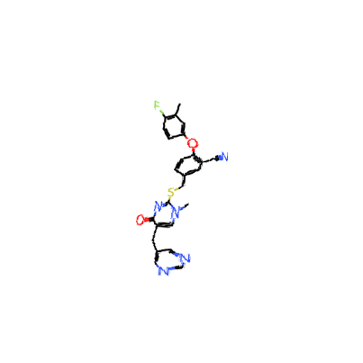 Cc1cc(Oc2ccc(CSc3nc(=O)c(Cc4cncnc4)cn3C)cc2C#N)ccc1F